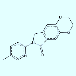 Cc1ccc(N2Cc3cc4c(cc3C2=O)OCCO4)nc1